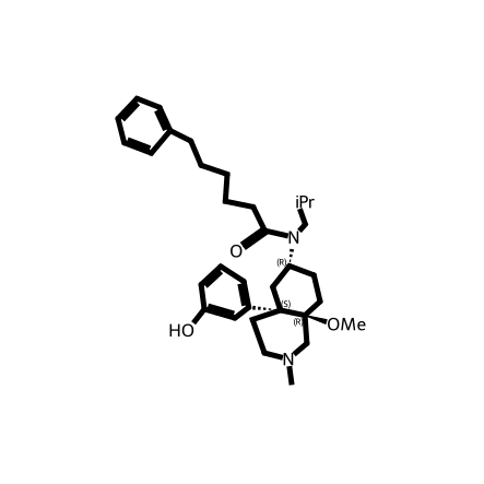 CO[C@]12CC[C@@H](N(CC(C)C)C(=O)CCCCCc3ccccc3)C[C@]1(c1cccc(O)c1)CCN(C)C2